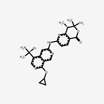 CC[C@@](C)(N)c1cnc(OC2CC2)c2cnc(Nc3ccc4c(n3)[C@@H](C)C(C)(C)OC4=O)cc12